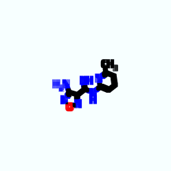 Cc1cccc(NC(=N)c2nonc2N)n1